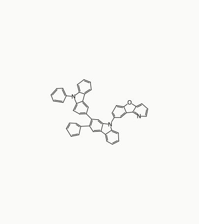 c1ccc(-c2cc3c4ccccc4n(-c4ccc5oc6cccnc6c5c4)c3cc2-c2ccc3c(c2)c2ccccc2n3-c2ccccc2)cc1